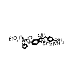 CCOC(=O)CNC(=O)N(c1ccc2c(c1)cc(Cc1ccc(C(=N)N)cc1)n2C)C1CCCC1.Cl